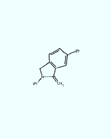 C=C1c2cc(C(C)C)ccc2CN1C(C)C